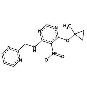 CC1(Oc2ncnc(NCc3ncccn3)c2[N+](=O)[O-])CC1